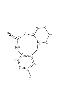 Cc1cnc2c(c1)CN1CCCCC1CC(=O)N2